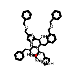 CC(C)(C)OC(=O)N[C@@H](Cc1ccccc1)C(=O)N(C(Cc1cccc(COCc2ccccc2)c1)[C@H](O)c1nc(COCc2ccccc2)c[nH]1)[C@@H](Cc1c[nH]cn1)C(N)=O